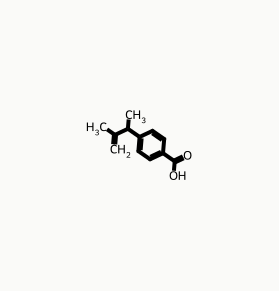 C=C(C)C(C)c1ccc(C(=O)O)cc1